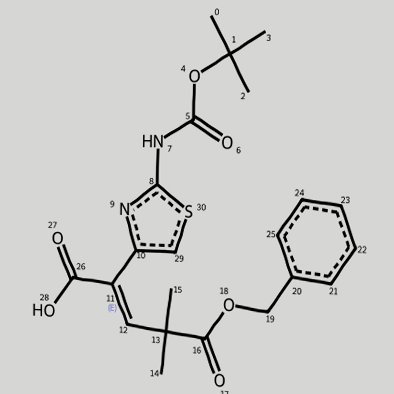 CC(C)(C)OC(=O)Nc1nc(/C(=C\C(C)(C)C(=O)OCc2ccccc2)C(=O)O)cs1